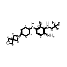 Nc1ccc(NC2CCC(N3CC4(COC4)C3)CC2)c(Br)c1NCC(F)(F)F